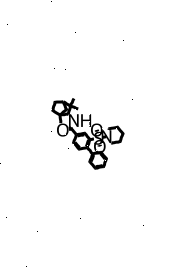 CC12CCC(C1)C(C)(C)C2NC(=O)c1ccc(-c2ccccc2)c(S(=O)(=O)N2CCCCC2)c1